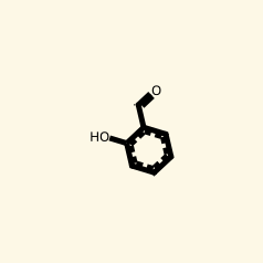 O=[C]c1cc[c]cc1O